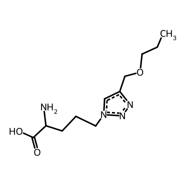 CCCOCc1cn(CCCC(N)C(=O)O)nn1